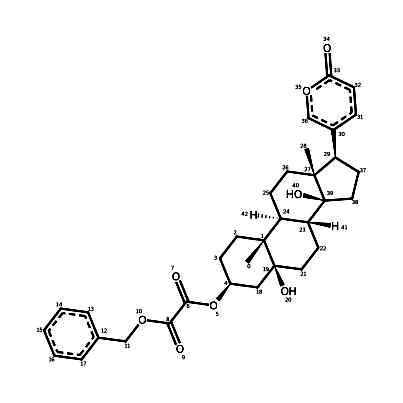 C[C@]12CC[C@H](OC(=O)C(=O)OCc3ccccc3)C[C@@]1(O)CC[C@@H]1[C@@H]2CC[C@]2(C)[C@@H](c3ccc(=O)oc3)CC[C@]12O